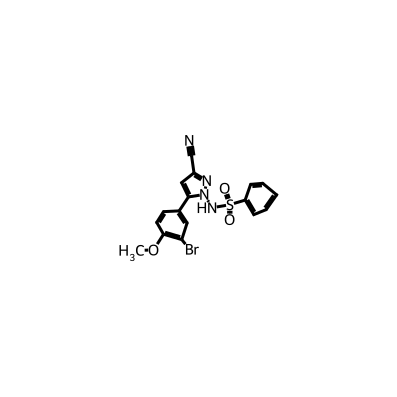 COc1ccc(-c2cc(C#N)nn2NS(=O)(=O)c2ccccc2)cc1Br